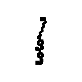 CC[C@H](C)CCCCCCCOc1ccc(OC(=O)c2ccc(O[C@H](C)CC)cc2)cc1